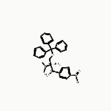 CN(C)[C@@](N)(COC(c1ccccc1)(c1ccccc1)c1ccccc1)[C@H](N)c1ccc([N+](=O)[O-])cc1